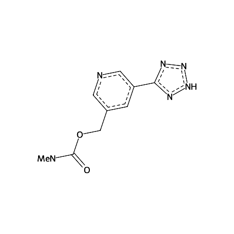 CNC(=O)OCc1cncc(-c2nn[nH]n2)c1